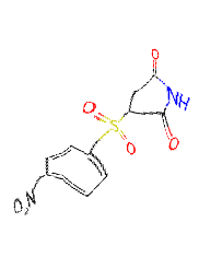 O=C1CC(S(=O)(=O)c2ccc([N+](=O)[O-])cc2)C(=O)N1